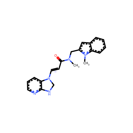 CN(Cc1cc2ccccc2n1C)C(=O)/C=C/N1CNc2ncccc21